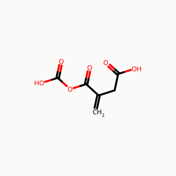 C=C(CC(=O)O)C(=O)OC(=O)O